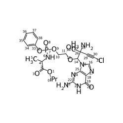 CC(C)OC(=O)C(C)NP(=O)(OC[C@H](O)OC(n1cnc2c(=O)[nH]c(N)nc21)C(C)(N)C#CCl)Oc1ccccc1